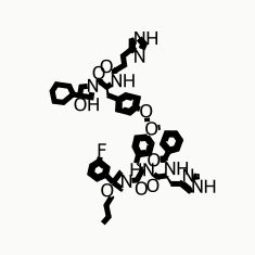 CCCCOC1(c2cccc(F)c2)CN(C(=O)[C@H](Cc2ccc(OC)cc2)NC(=O)[C@H](Cc2c[nH]cn2)NC(=O)c2ccccc2)C1.COc1ccc(C[C@H](NC(=O)CCc2c[nH]cn2)C(=O)N2CC(O)(C3CCCCC3)C2)cc1